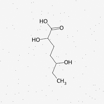 CCC(O)CCC(O)C(=O)O